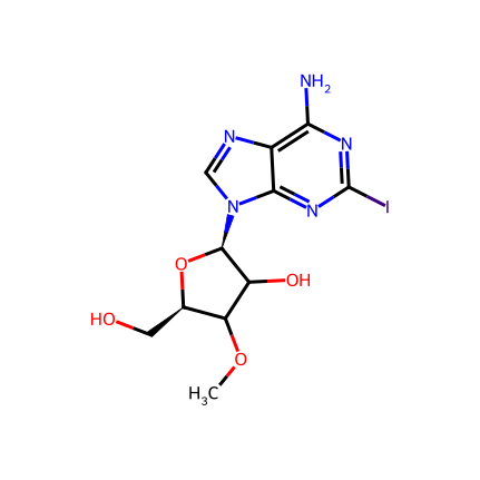 COC1C(O)[C@H](n2cnc3c(N)nc(I)nc32)O[C@@H]1CO